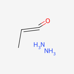 CC=C=O.N.N